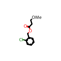 COCCC(=O)OCc1ccccc1Cl